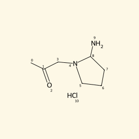 CC(=O)CN1CCCC1N.Cl